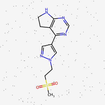 CS(=O)(=O)CCn1cc(-c2ncnc3c2CCN3)cn1